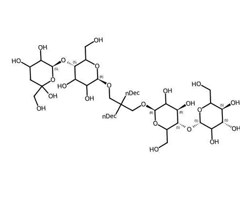 CCCCCCCCCCC(CCCCCCCCCC)(CO[C@@H]1OC(CO)[C@@H](O[C@H]2OC(O)(CO)CC(O)C2O)C(O)C1O)CO[C@@H]1OC(CO)[C@@H](O[C@@H]2OC(CO)[C@@H](O)[C@H](O)C2O)[C@H](O)C1O